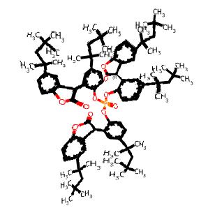 CC(C)(C)CC(C)(C)c1ccc2c(c1)C(c1cc(C(C)(C)CC(C)(C)C)ccc1OP(=O)(Oc1ccc(C(C)(C)CC(C)(C)C)cc1C1C(=O)Oc3ccc(C(C)(C)CC(C)(C)C)cc31)Oc1ccc(C(C)(C)CC(C)(C)C)cc1[C@H]1C(=O)Oc3ccc(C(C)(C)CC(C)(C)C)cc31)C(=O)O2